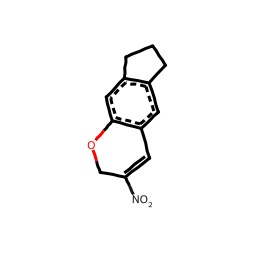 O=[N+]([O-])C1=Cc2cc3c(cc2OC1)CCC3